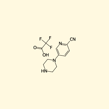 N#Cc1ccc(N2CCNCC2)cn1.O=C(O)C(F)(F)F